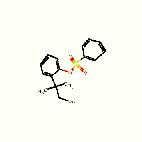 CCC(C)(C)c1ccccc1OS(=O)(=O)c1ccccc1